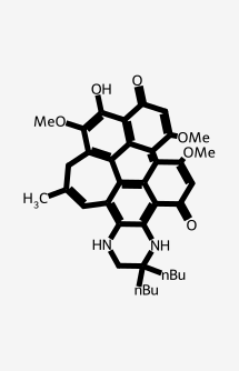 CCCCC1(CCCC)CNc2c(c3c(=O)cc(OC)c4c5c(OC)cc(=O)c6c(O)c(OC)c7c(c(c2C=C(C)C7)c34)c65)N1